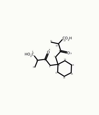 CC(C(=O)O)C(=O)CC1(CC(=O)C(C)C(=O)O)CCCCC1